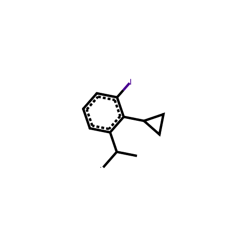 [CH2]C(C)c1cccc(I)c1C1CC1